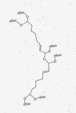 CCCCCCCCCCOC(CCCCC=CC(OCCCCCCCCC)OC(C=CCCCCC(OCCCCCCCCCC)OCCCCCCCCCC)OCCCCCCCCC)OCCCCCCCCCC